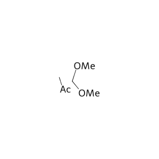 CC(C)=O.COCOC